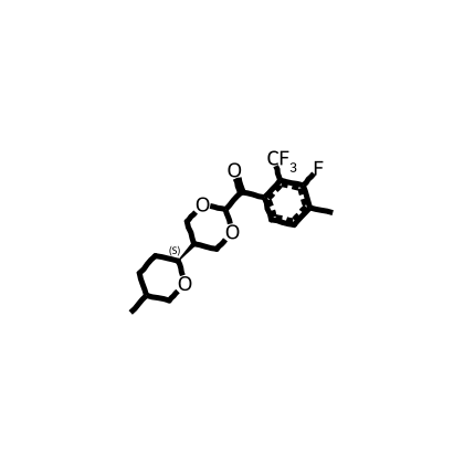 Cc1ccc(C(=O)C2OCC([C@@H]3CCC(C)CO3)CO2)c(C(F)(F)F)c1F